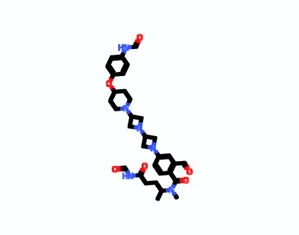 CC(CCC(=O)NC=O)N(C)C(=O)c1ccc(N2CC(N3CC(N4CCC(Oc5ccc(NC=O)cc5)CC4)C3)C2)cc1C=O